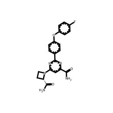 NC(=O)c1cc(N2CC[C@H]2C(N)=O)nc(-c2ccc(Oc3ccc(F)cc3)cc2)n1